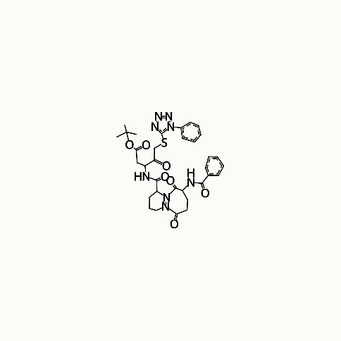 CC(C)(C)OC(=O)CC(NC(=O)C1CCCN2C(=O)CCC(NC(=O)c3ccccc3)C(=O)N12)C(=O)CSc1nnnn1-c1ccccc1